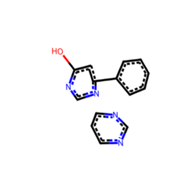 Oc1cc(-c2ccccc2)ncn1.c1cncnc1